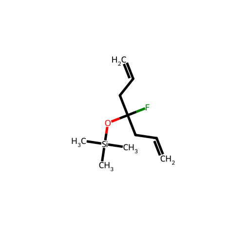 C=CCC(F)(CC=C)O[Si](C)(C)C